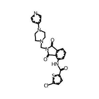 O=C(Nc1cccc2c1C(=O)N(CN1CCN(c3ccncc3)CC1)C2=O)c1ccc(Cl)s1